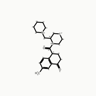 Cc1ccc2c(c1)C(=O)CCC2C(=O)N1CCSCC1CN1CCCCC1